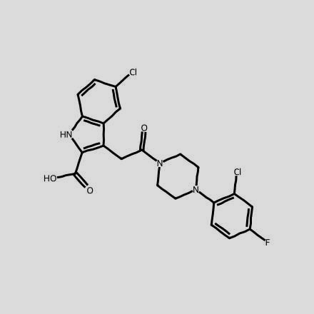 O=C(O)c1[nH]c2ccc(Cl)cc2c1CC(=O)N1CCN(c2ccc(F)cc2Cl)CC1